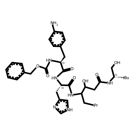 CCC(C)[C@@H](CO)NC(=O)CC(O)C(CC(C)C)NC(=O)[C@H](Cc1c[nH]cn1)NC(=O)[C@H](Cc1ccc(N)cc1)NC(=O)OCc1ccccc1